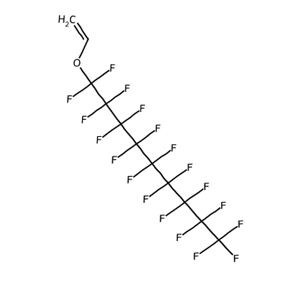 C=COC(F)(F)C(F)(F)C(F)(F)C(F)(F)C(F)(F)C(F)(F)C(F)(F)C(F)(F)C(F)(F)F